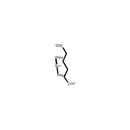 CCCCC[CH2][Sn+2][CH2]CCCCC.O=C([O-])CCCCC(=O)[O-]